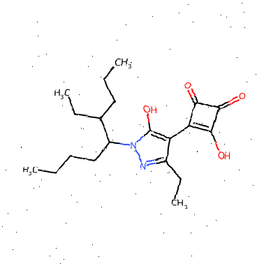 CCCCC(C(CC)CCC)n1nc(CC)c(-c2c(O)c(=O)c2=O)c1O